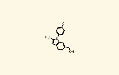 Cc1cc2ccc(CO)cc2n1-c1ccc(Cl)cc1